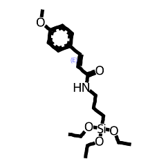 CCO[Si](CCCNC(=O)/C=C/c1ccc(OC)cc1)(OCC)OCC